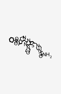 CC1=CC2=C(c3nc(N4CCOCC4)c4sc(CN5CCN(C(C)(C)C(N)=O)CC5)cc4n3)N=CCC2N1S(=O)(=O)c1ccccc1